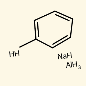 Cc1ccccc1.[AlH3].[HH].[NaH]